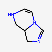 [C]1NC=CN2C=NCC12